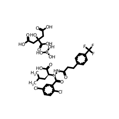 CC(C)C[C@@H](C(=O)O)N(NC(=O)CCc1ccc(C(F)(F)F)cc1)C(=O)c1cc(Cl)ccc1Cl.O=C(O)CC(O)(CC(=O)O)C(=O)O.OB(O)O